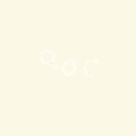 CCC(C)c1ccc(CN2CCCC2)cc1